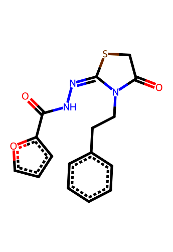 O=C(N/N=C1/SCC(=O)N1CCc1ccccc1)c1ccco1